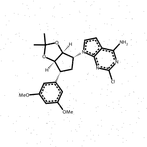 COc1cc(OC)cc([C@H]2C[C@@H](n3ccc4c(N)nc(Cl)nc43)[C@@H]3OC(C)(C)O[C@@H]32)c1